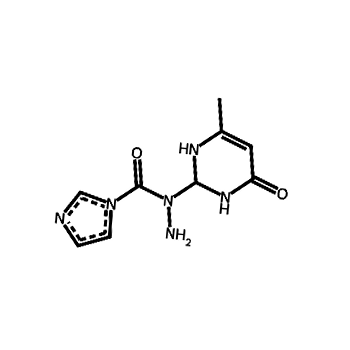 CC1=CC(=O)NC(N(N)C(=O)n2ccnc2)N1